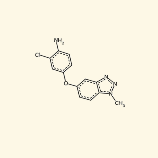 Cn1nnc2cc(Oc3ccc(N)c(Cl)c3)ccc21